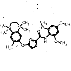 COc1cc(OC)c(NC(=O)c2ccc(Oc3cc4c(cc3C)[Si](C)(C)CC[Si]4(C)C)o2)c(OC)c1